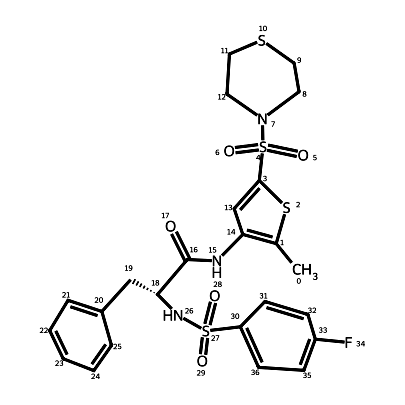 Cc1sc(S(=O)(=O)N2CCSCC2)cc1NC(=O)[C@@H](Cc1ccccc1)NS(=O)(=O)c1ccc(F)cc1